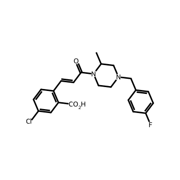 CC1CN(Cc2ccc(F)cc2)CCN1C(=O)/C=C/c1ccc(Cl)cc1C(=O)O